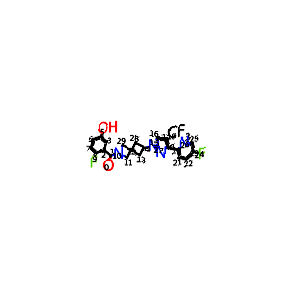 O=C(c1cc(O)ccc1F)N1CC2(CC(n3cc(C(F)(F)F)c(-c4ccc(F)cn4)n3)C2)C1